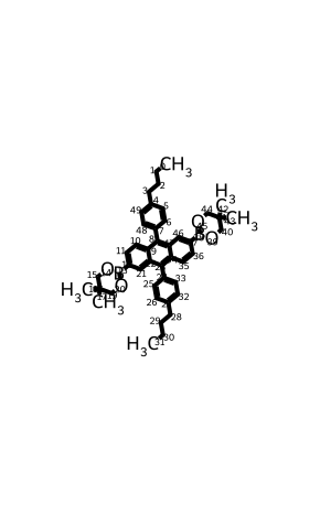 CCCCc1ccc(-c2c3ccc(B4OCC(C)(C)CO4)cc3c(-c3ccc(CCCC)cc3)c3ccc(B4OCC(C)(C)CO4)cc23)cc1